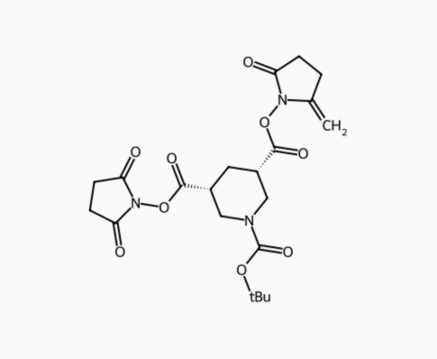 C=C1CCC(=O)N1OC(=O)[C@H]1C[C@@H](C(=O)ON2C(=O)CCC2=O)CN(C(=O)OC(C)(C)C)C1